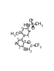 Bc1cncc(-c2ccc(NS(C)(=O)=O)cc2C)c1OCC(F)(F)F